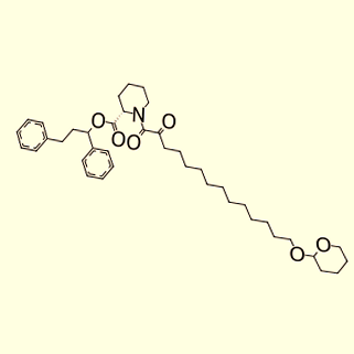 O=C(CCCCCCCCCCCCOC1CCCCO1)C(=O)N1CCCC[C@H]1C(=O)OC(CCc1ccccc1)c1ccccc1